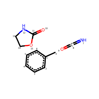 Cc1ccccc1.N=C=O.O=C1NCCO1